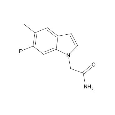 Cc1cc2ccn(CC(N)=O)c2cc1F